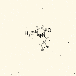 Cc1ccc(=O)n(CC2CCC2)n1